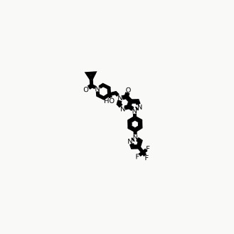 O=C(C1CC1)N1CCC(O)(Cn2cnc3c(cnn3-c3ccc(-n4cc(C(F)(F)F)cn4)cc3)c2=O)CC1